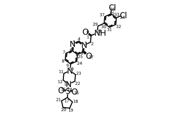 O=C(Cn1cnc2ccc(N3CCN(S(=O)(=O)C4CCCC4)CC3)cc2c1=O)NCc1ccc(Cl)c(Cl)c1